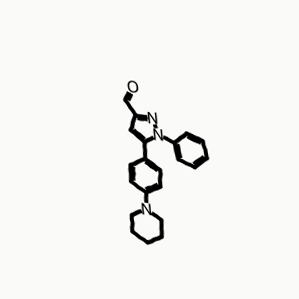 O=Cc1cc(-c2ccc(N3CCCCC3)cc2)n(-c2ccccc2)n1